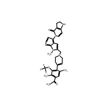 Cc1cc(C(N)=O)c(C)c(OC(F)(F)F)c1C1=CCN(Cc2cc3c(-n4ccc5c(c4=O)CCN5)ccnc3n2C)CC1